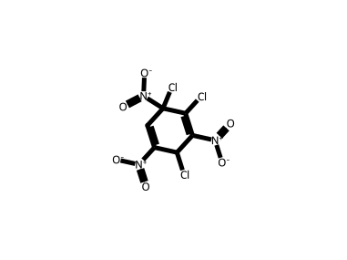 O=[N+]([O-])C1=CC(Cl)([N+](=O)[O-])C(Cl)=C([N+](=O)[O-])C1Cl